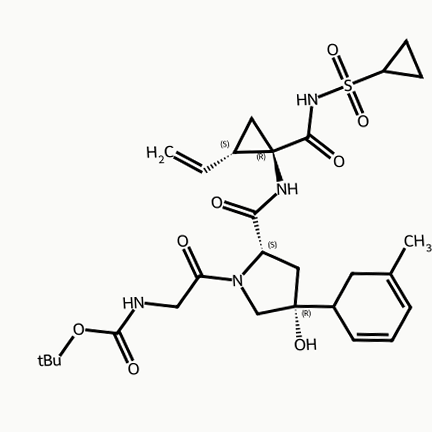 C=C[C@@H]1C[C@]1(NC(=O)[C@@H]1C[C@@](O)(C2C=CC=C(C)C2)CN1C(=O)CNC(=O)OC(C)(C)C)C(=O)NS(=O)(=O)C1CC1